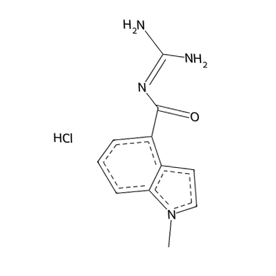 Cl.Cn1ccc2c(C(=O)N=C(N)N)cccc21